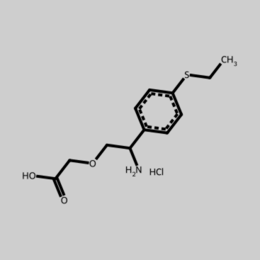 CCSc1ccc(C(N)COCC(=O)O)cc1.Cl